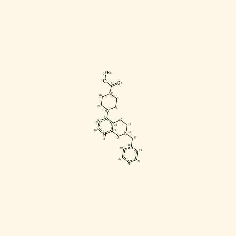 CC(C)(C)OC(=O)N1CCN(c2ncnc3c2CCN(Cc2ccccc2)C3)CC1